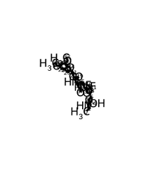 CCNP(O)OC[C@@H]1CC(F)(F)C(n2ccc(NC(=O)OCc3cc4cc(OC)cc(OC)c4o3)nc2=O)O1